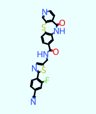 N#Cc1ccc(-c2ncc(CNC(=O)c3ccc4c(c3)NC(=O)c3ccncc3S4)s2)c(F)c1